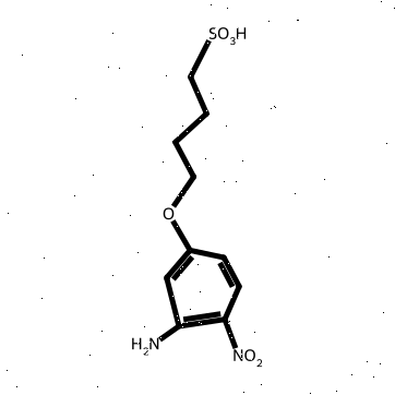 Nc1cc(OCCCCS(=O)(=O)O)ccc1[N+](=O)[O-]